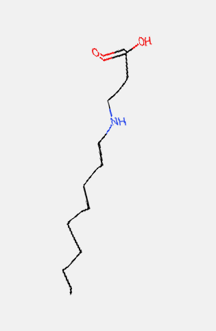 CCCCCCCCNCCC(=O)O